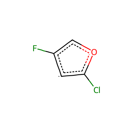 Fc1[c]c(Cl)oc1